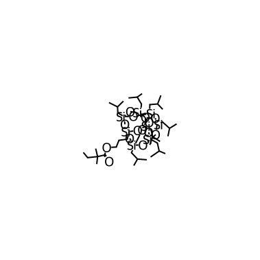 CCC(C)(C)C(=O)OCCC[Si]12O[Si]3(CC(C)C)O[Si]4(CC(C)C)O[Si](CC(C)C)(O1)O[Si]1(CC(C)C)O[Si](CC(C)C)(O2)O[Si](CC(C)C)(O3)O[Si](CC(C)C)(O4)O1